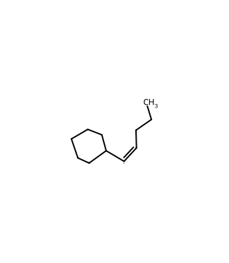 CCC/C=[C]\C1CCCCC1